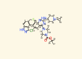 Cc1ccc2[nH]ncc2c1-c1c(Cl)cc2c(N3CC(C)N(C(=O)OC(C)(C)C)CC3C)nc(NC3CCN(C4CC4)CC3)nc2c1F